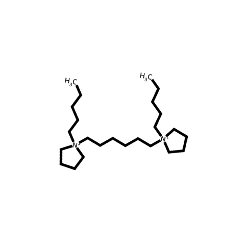 CCCCC[N+]1(CCCCCC[N+]2(CCCCC)CCCC2)CCCC1